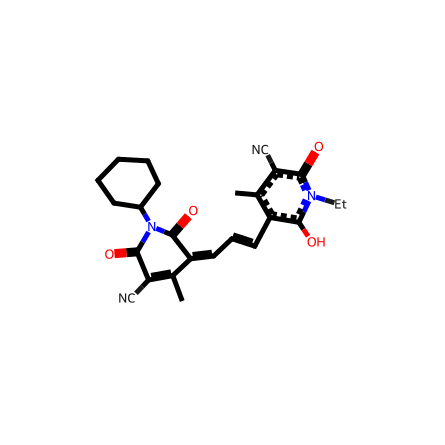 CCn1c(O)c(C=CC=C2C(=O)N(C3CCCCC3)C(=O)C(C#N)=C2C)c(C)c(C#N)c1=O